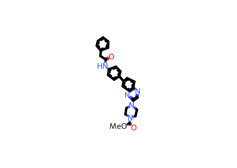 COC(=O)N1CCN(c2cnc3ccc(-c4ccc(NC(=O)Cc5ccccc5)cc4)cc3n2)CC1